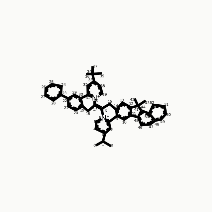 CC(C)c1cc[n+]2c(c1)-c1cc3c(cc1C/C2=C1/Cc2ccc(-c4ccccc4)cc2-c2cc(C(C)(C)C)cc[n+]21)C(C)(C)c1c-3ccc2ccccc12